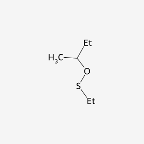 CCSOC(C)CC